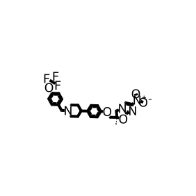 C[C@]1(COc2ccc(C3CCN(Cc4ccc(OC(F)(F)F)cc4)CC3)cc2)Cn2cc([N+](=O)[O-])nc2O1